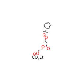 CCOC(=O)OOCCOC(=O)C=COOC(C)(C)c1ccccc1